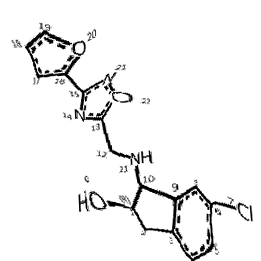 O[C@@H]1Cc2ccc(Cl)cc2C1NCc1nc(-c2ccco2)no1